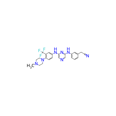 CN1CCN(c2ccc(Nc3cncc(Nc4cccc(CC#N)c4)n3)cc2C(F)(F)F)CC1